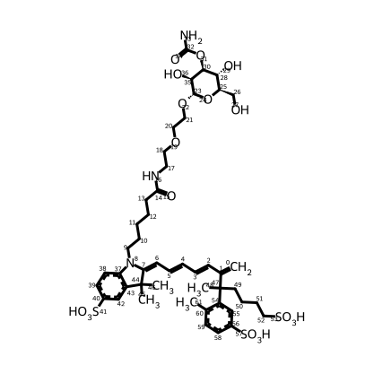 C=C(/C=C/C=C/C=C1/N(CCCCCC(=O)NCCOCCO[C@H]2O[C@H](CO)[C@@H](O)[C@H](OC(N)=O)[C@@H]2O)c2ccc(S(=O)(=O)O)cc2C1(C)C)C(C)(CCCCS(=O)(=O)O)c1cc(S(=O)(=O)O)ccc1C